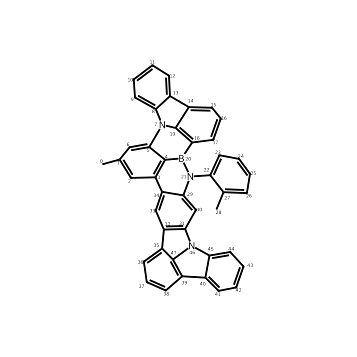 Cc1cc2c3c(c1)-n1c4ccccc4c4cccc(c41)B3N(c1ccccc1C)c1cc3c(cc1-2)c1cccc2c4ccccc4n3c21